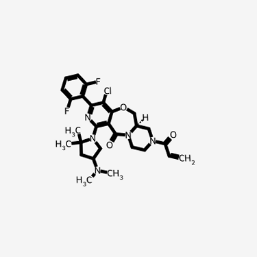 C=CC(=O)N1CCN2C(=O)c3c(N4CC(N(C)C)CC4(C)C)nc(-c4c(F)cccc4F)c(Cl)c3OC[C@H]2C1